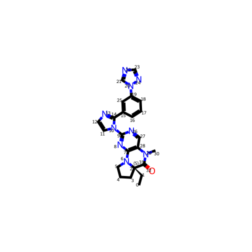 CC[C@@]12CCCN1c1nc(-n3ccnc3-c3cccc(-n4cncn4)c3)ncc1N(C)C2=O